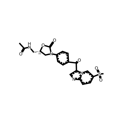 CC(=O)NC[C@H]1CN(c2ccc(C(=O)c3cnc4ccc(S(C)(=O)=O)cn34)cc2)C(=O)O1